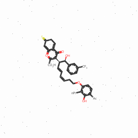 CCCc1c(OCC/C=C\C=C\[C@@H](c2c(C(=O)O)oc3c(c2=O)=CCC(=S)C=3)[C@@H](O)c2cccc(C(F)(F)F)c2)ccc(C(C)=O)c1O